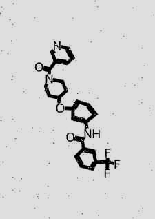 O=C(Nc1cccc(OC2CCN(C(=O)c3cccnc3)CC2)c1)c1cccc(C(F)(F)F)c1